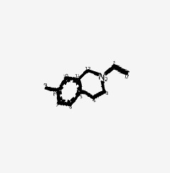 CCN1CCc2ccc(C)cc2C1